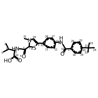 CC(C)C(NC(=O)C1SC(c2ccc(NC(=O)c3ccc(C(C)(C)C)cc3)cc2)=CN1C)C(=O)O